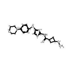 COC1CC(C(=O)Nc2ncc(Oc3ccc(N4CCOCC4)cc3)s2)C1